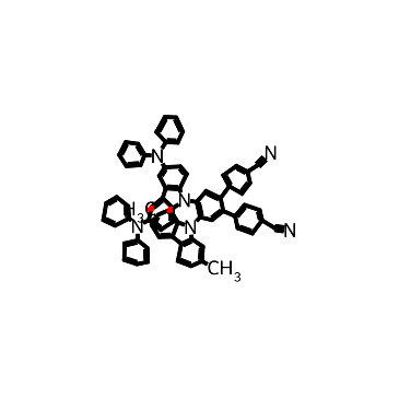 Cc1ccc2c3ccc(C)cc3n(-c3cc(-c4ccc(C#N)cc4)c(-c4ccc(C#N)cc4)cc3-n3c4ccc(N(c5ccccc5)c5ccccc5)cc4c4cc(N(c5ccccc5)c5ccccc5)ccc43)c2c1